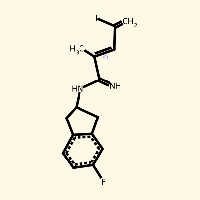 C=C(I)/C=C(\C)C(=N)NC1Cc2ccc(F)cc2C1